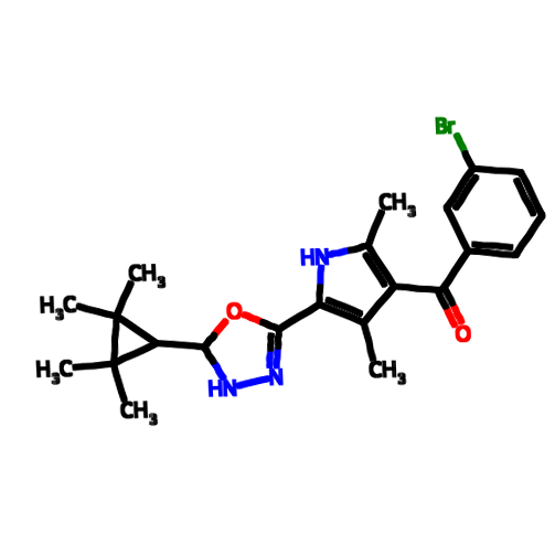 Cc1[nH]c(C2=NNC(C3C(C)(C)C3(C)C)O2)c(C)c1C(=O)c1cccc(Br)c1